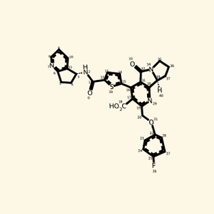 O=C(N[C@@H]1CCc2ncccc21)c1ccc(-c2c(C(=O)O)c(COc3ccc(F)cc3)nc3c2C(=O)N2CCC[C@@H]32)s1